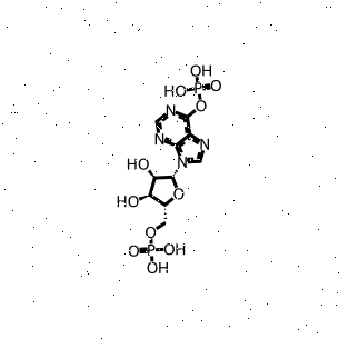 O=P(O)(O)OC[C@H]1O[C@@H](n2cnc3c(OP(=O)(O)O)ncnc32)[C@H](O)[C@@H]1O